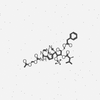 CC(=O)OCOC(=O)Nc1ncnn2c([C@]3(C#N)O[C@H](COC(=O)Cc4ccccc4)[C@@H](OC(=O)[C@@H](C)C(C)C)C3O[Si](C)(C)C)ccc12